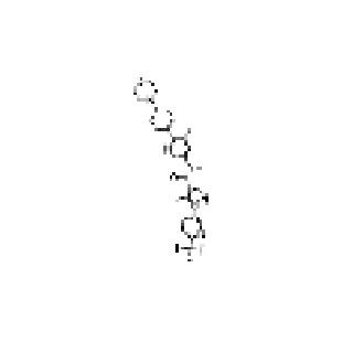 Cc1cc(NC(=O)c2cnn(-c3ccc(C(F)(F)F)nc3)c2C)cnc1C1=CCC(N2CCOCC2)CC1